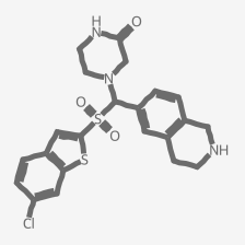 O=C1CN(C(c2ccc3c(c2)CCNC3)S(=O)(=O)c2cc3ccc(Cl)cc3s2)CCN1